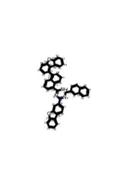 N/C(=N\C(=N/Cc1ccc2ccccc2c1)c1ccc2c(c1)oc1ccccc12)c1cccc2c(-c3cccc4oc5ccccc5c34)cccc12